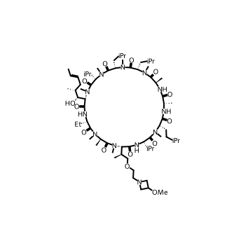 C/C=C/C[C@@H](C)[C@@H](O)[C@H]1C(=O)N[C@@H](CC)C(=O)N(C)[C@H](C)C(=O)N(C)[C@@H]([C@H](C)COCCN2CC(OC)C2)C(=O)N[C@@H](C(C)C)C(=O)N(C)[C@@H](CCC(C)C)C(=O)N[C@@H](C)C(=O)N[C@H](C)C(=O)N(C)[C@@H](CC(C)C)C(=O)N(C)[C@@H](CC(C)C)C(=O)N(C)[C@@H](C(C)C)C(=O)N1C